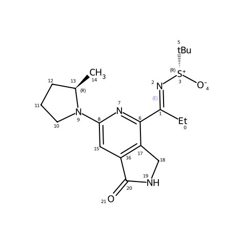 CC/C(=N\[S@@+]([O-])C(C)(C)C)c1nc(N2CCC[C@H]2C)cc2c1CNC2=O